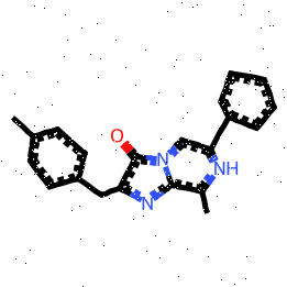 Cc1ccc(Cc2nc3c(C)[nH]c(-c4ccccc4)cn-3c2=O)cc1